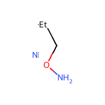 C[CH]CON.[N]